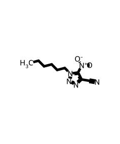 CCCCCCn1nnc(C#N)c1[N+](=O)[O-]